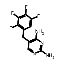 Nc1ncc(Cc2cc(F)c(F)c(F)c2F)c(N)n1